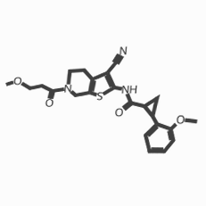 COCCC(=O)N1CCc2c(sc(NC(=O)C3CC3c3ccccc3OC)c2C#N)C1